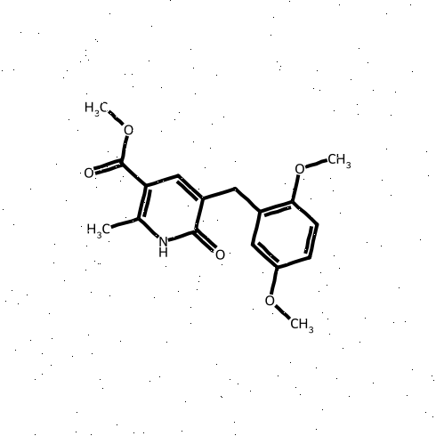 COC(=O)c1cc(Cc2cc(OC)ccc2OC)c(=O)[nH]c1C